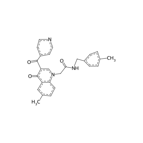 Cc1ccc(CNC(=O)Cn2cc(C(=O)c3ccncc3)c(=O)c3cc(C)ccc32)cc1